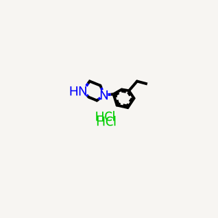 CCc1cccc(N2CCNCC2)c1.Cl.Cl